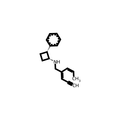 C#C/C=C(\C=C/C)CN[C@@H]1CC[C@@H]1c1ccccc1